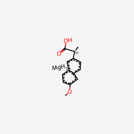 COc1ccc2cc([C@H](C)C(=O)O)ccc2c1.[MgH2]